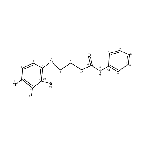 Cc1c(Cl)ccc(OCCCC(=O)Nc2ccccc2)c1Br